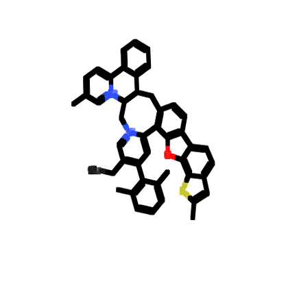 Cc1ccc2[n+](c1)C1C[n+]3cc(CC(C)(C)C)c(-c4c(C)cccc4C)cc3-c3c(ccc4c3oc3c4ccc4cc(C)sc43)CC1c1ccccc1-2